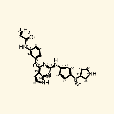 C=CC(=O)Nc1cccc(Oc2nc(Nc3ccc(N(C(C)=O)C4CCNC4)cc3)nc3[nH]ccc23)c1